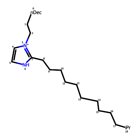 CCCCCCCCCCCC[n+]1cc[nH]c1CCCCCCCCCCC(C)C